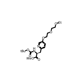 CCOCCOCCOc1ccc(C[C@H](NC(=O)OC(C)(C)C)C(=O)OC)nc1